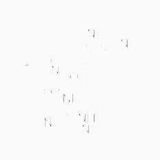 C[C@H]1CC[C@H](c2ccc3sc(C[C@H](C)N4CCCC4)nc3c2)N(C(=O)C(=O)Nc2cncc3cn[nH]c23)C1